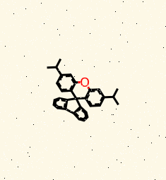 CC(C)c1ccc2c(c1)Oc1cc(C(C)C)ccc1C21c2ccccc2-c2ccccc21